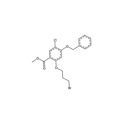 COC(=O)c1cc(Cl)c(OCc2ccccc2)cc1OCCCBr